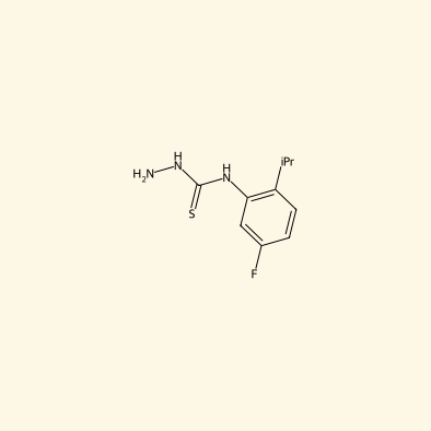 CC(C)c1ccc(F)cc1NC(=S)NN